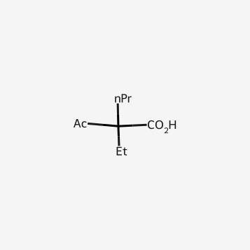 CCCC(CC)(C(C)=O)C(=O)O